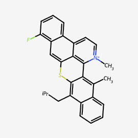 Cc1c2c(c(CC(C)C)c3ccccc13)Sc1cc3c(F)cccc3c3cc[n+](C)c-2c13